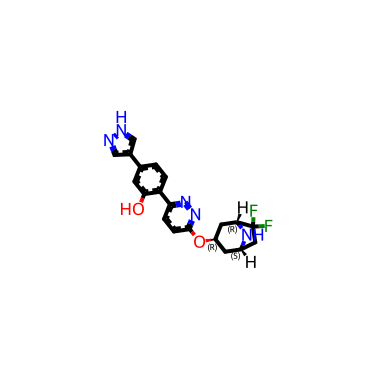 Oc1cc(-c2cn[nH]c2)ccc1-c1ccc(O[C@@H]2C[C@H]3CC(F)(F)[C@@H](C2)N3)nn1